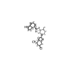 CC1CCN(c2nc3cc(Cl)cc(Cl)c3o2)CC1CNc1ncnc2[nH]ccc12